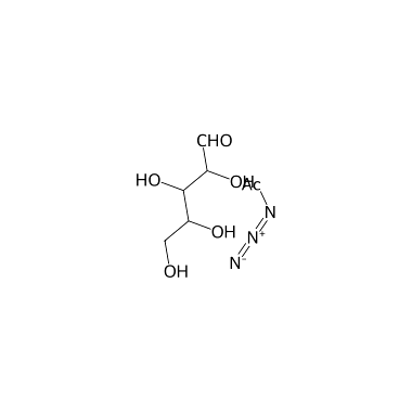 CC(=O)N=[N+]=[N-].O=CC(O)C(O)C(O)CO